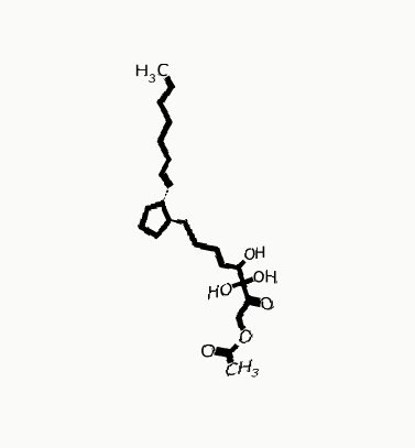 CCCCCCC=C[C@H]1CCC[C@@H]1CCCCC(O)C(O)(O)C(=O)COC(C)=O